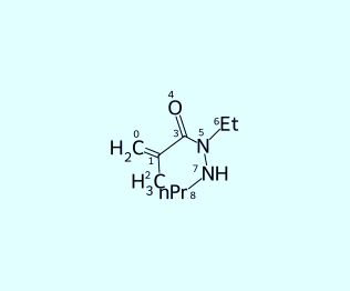 C=C(C)C(=O)N(CC)NCCC